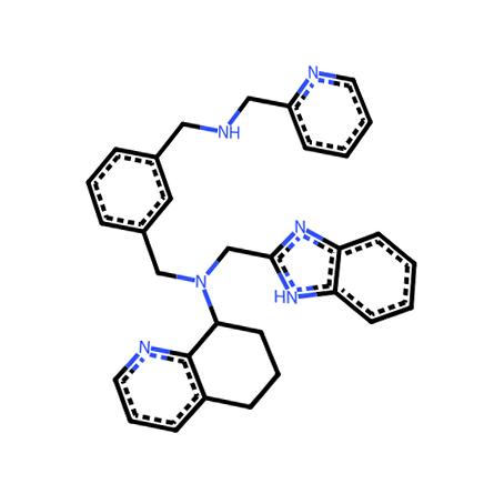 c1ccc(CNCc2cccc(CN(Cc3nc4ccccc4[nH]3)C3CCCc4cccnc43)c2)nc1